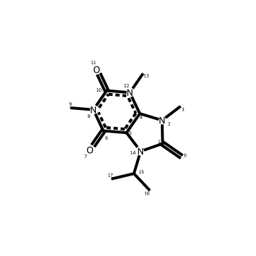 C=C1N(C)c2c(c(=O)n(C)c(=O)n2C)N1C(C)C